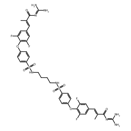 C/C(=C\c1cc(F)c(Oc2ccc(S(=O)(=O)NCCCCNS(=O)(=O)c3ccc(Oc4c(F)cc(/C=C(\C)C(=O)N=C(N)N)cc4F)cc3)cc2)c(F)c1)C(=O)N=C(N)N